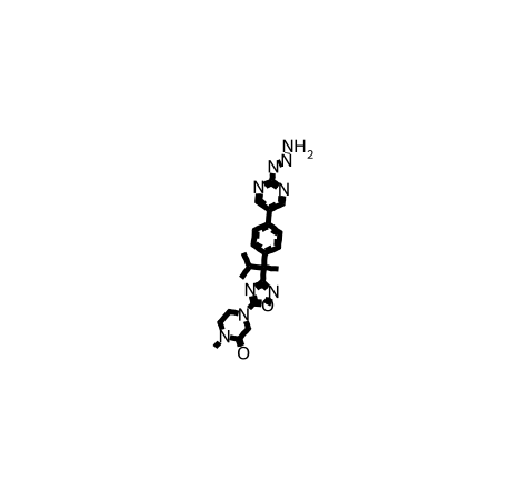 CC(C)C(C)(c1ccc(-c2cnc(N=NN)nc2)cc1)c1noc(N2CCN(C)C(=O)C2)n1